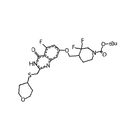 CC(C)(C)OC(=O)N1CCC(COc2cc(F)c3c(=O)[nH]c(CSC4CCOCC4)nc3c2)C(F)(F)C1